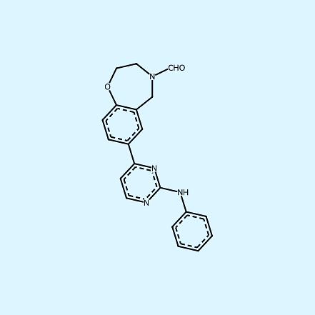 O=CN1CCOc2ccc(-c3ccnc(Nc4ccccc4)n3)cc2C1